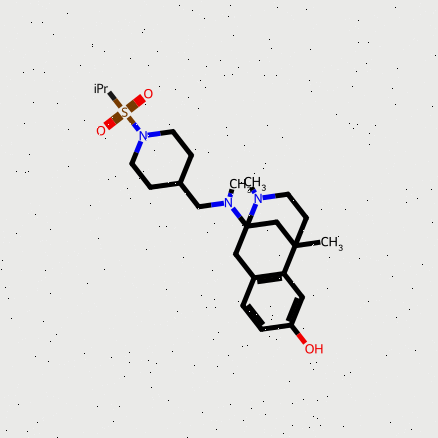 CC(C)S(=O)(=O)N1CCC(CN(C)C23Cc4ccc(O)cc4C(C)(CCN2C)C3)CC1